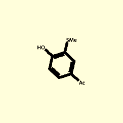 CSc1cc(C(C)=O)ccc1O